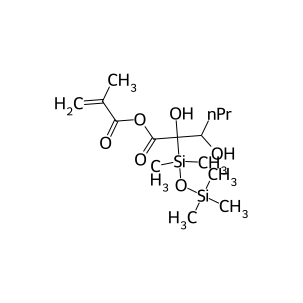 C=C(C)C(=O)OC(=O)C(O)(C(O)CCC)[Si](C)(C)O[Si](C)(C)C